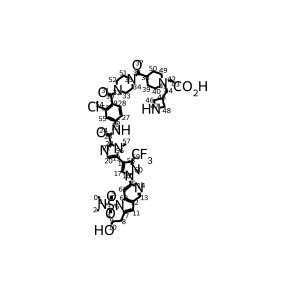 CN(C)S(=O)(=O)n1c(CCO)cc2cnc(-n3cc(-c4cnc(C(=O)Nc5ccc(C(=O)N6CCN(C(=O)C7CC[N+](CC(=O)O)(CC8CNC8)CC7)CC6)c(Cl)c5)n4C)c(C(F)(F)F)n3)cc21